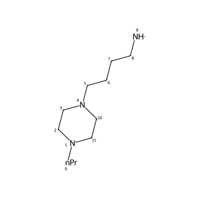 CCCN1CCN(CCCC[NH])CC1